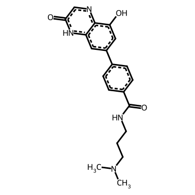 CN(C)CCCNC(=O)c1ccc(-c2cc(O)c3ncc(=O)[nH]c3c2)cc1